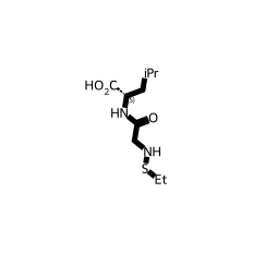 CCSNCC(=O)N[C@@H](CC(C)C)C(=O)O